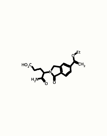 C=C(OCC)c1ccc2c(c1)CN(C(CCC(=O)O)C(N)=O)C2=O